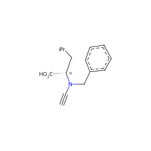 C#CN(Cc1ccccc1)[C@@H](CC(C)C)C(=O)O